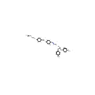 [CH2]C(COC(=O)/C=C/c1ccc(OC(=O)c2ccc(OCCCC#N)cc2)cc1)(Cc1ccc(N)cc1)Cc1ccc(N)cc1